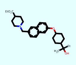 CCOC(=O)C1CCN(Cc2ccc3cc(OC4CCC(C(C)(O)CC)CC4)ccc3c2)CC1